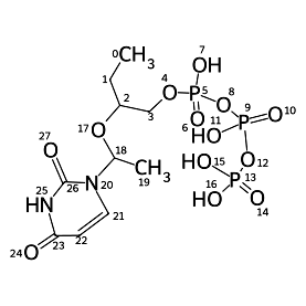 CCC(COP(=O)(O)OP(=O)(O)OP(=O)(O)O)OC(C)n1ccc(=O)[nH]c1=O